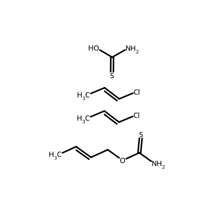 CC=CCOC(N)=S.CC=CCl.CC=CCl.NC(O)=S